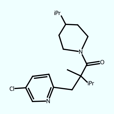 CC(C)C1CCN(C(=O)C(C)(Cc2ccc(Cl)cn2)C(C)C)CC1